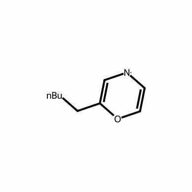 CCCCCC1=C[N]C=CO1